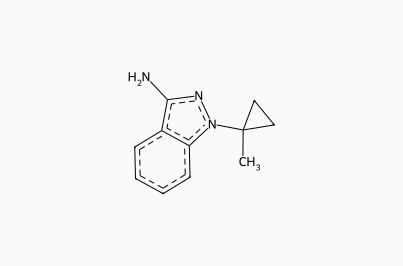 CC1(n2nc(N)c3ccccc32)CC1